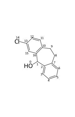 OC1c2ccccc2CCc2ccc(Cl)cc21